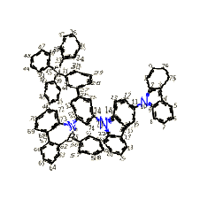 C1=Cc2c(c3ccccc3n2-c2ccc3c(c2)c2ccccc2n3-c2cc(-c3cccc([Si](c4ccccc4)(c4ccccc4)c4ccccc4)c3)cc(N3B(c4ccccc4)c4ccccc4-c4ccccc43)c2)CC1